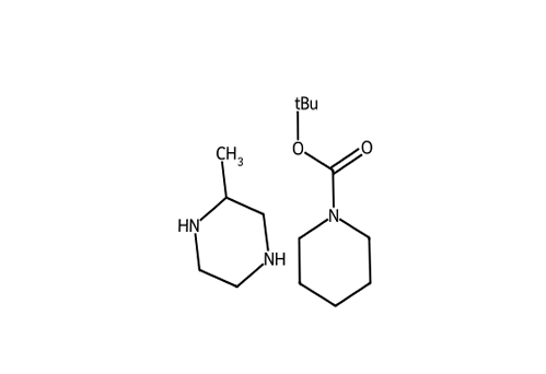 CC(C)(C)OC(=O)N1CCCCC1.CC1CNCCN1